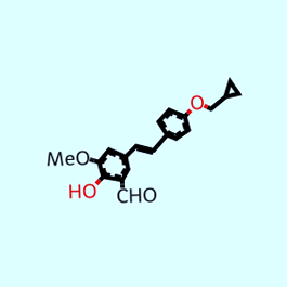 COc1cc(C=Cc2ccc(OCC3CC3)cc2)cc(C=O)c1O